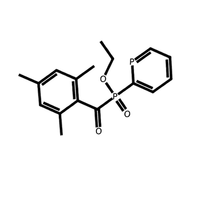 CCOP(=O)(C(=O)c1c(C)cc(C)cc1C)c1ccccp1